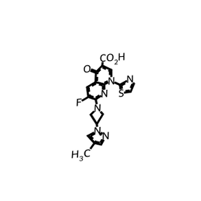 Cc1cnn(C2CN(c3nc4c(cc3F)c(=O)c(C(=O)O)cn4-c3nccs3)C2)c1